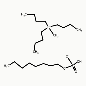 CCCCCCCCOP(=O)([O-])O.CCCC[P+](C)(CCCC)CCCC